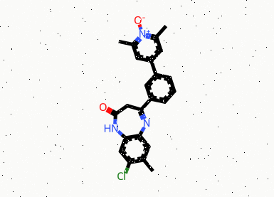 Cc1cc2c(cc1Cl)NC(=O)CC(c1cccc(-c3cc(C)[n+]([O-])c(C)c3)c1)=N2